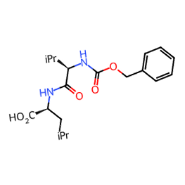 CC(C)C[C@H](NC(=O)[C@H](NC(=O)OCc1ccccc1)C(C)C)C(=O)O